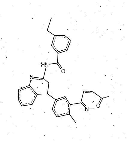 CCc1cccc(C(=O)N/C(CCc2ccc(C)c(C(/C=C\C(C)=O)=N/C)c2)=N/c2ccccc2C)c1